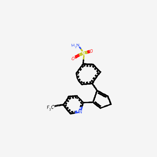 NS(=O)(=O)c1ccc(C2=CCC=C2c2ccc(C(F)(F)F)cn2)cc1